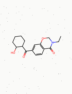 CCN1COc2cc(C(=O)C3CCCCC3O)ccc2C1=O